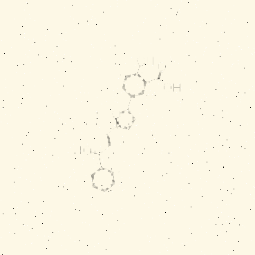 O=C(O)c1cc(-c2ccc(/C=C/C(O)c3ccccc3)o2)ccc1O